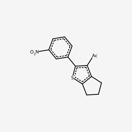 CC(=O)c1c(-c2cccc([N+](=O)[O-])c2)sc2c1CCC2